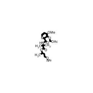 CCCOCCC(C)OC(=O)C(C)(C)NC(=O)c1nccc(OC)c1OCOC(C)=O